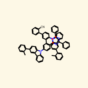 Cc1ccccc1-c1ccc2c(c1)c1ccccc1n2-c1ccc(-c2nc(-c3ccccc3)nc(-c3ccccc3)n2)c(-c2cc(-c3ccccc3C#N)ccc2-n2c3ccccc3c3cc(-c4ccccc4C)ccc32)c1